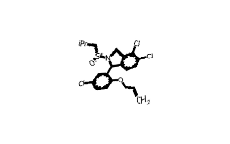 C=CCOc1ccc(Cl)cc1C1c2ccc(Cl)c(Cl)c2CN1[S+]([O-])CC(C)C